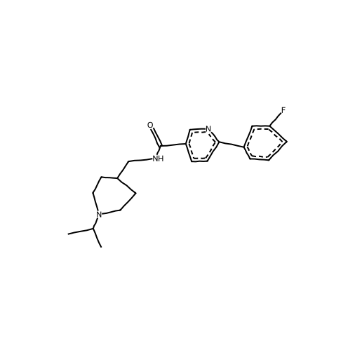 CC(C)N1CCC(CNC(=O)c2ccc(-c3cccc(F)c3)nc2)CC1